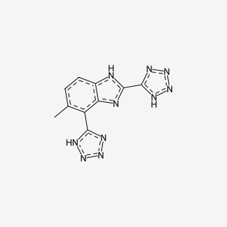 Cc1ccc2[nH]c(-c3nnn[nH]3)nc2c1-c1nnn[nH]1